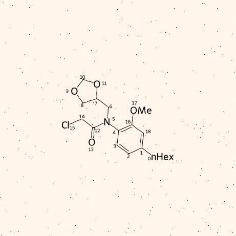 CCCCCCc1ccc(N(CC2COCO2)C(=O)CCl)c(OC)c1